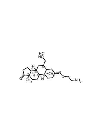 C[C@]12CCC(=NOCCN)CC1[C@H](CO)C[C@@H]1[C@@H]2CC[C@]2(C)C(=O)CC[C@@H]12.Cl